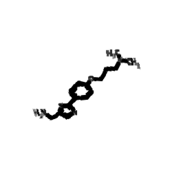 CN(C)CCCOc1ccc(-c2ncc(CN)s2)cc1